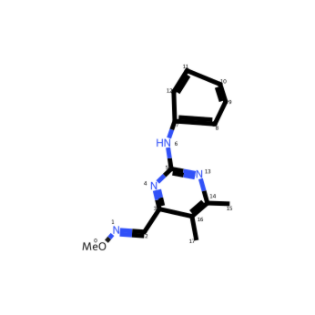 CON=Cc1nc(Nc2ccccc2)nc(C)c1C